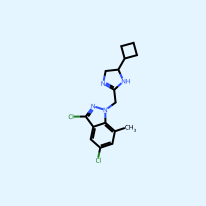 Cc1cc(Cl)cc2c(Cl)nn(CC3=NCC(C4CCC4)N3)c12